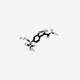 CNC(=O)c1[nH]nc2cc(N(C)S(C)(=O)=O)ccc12